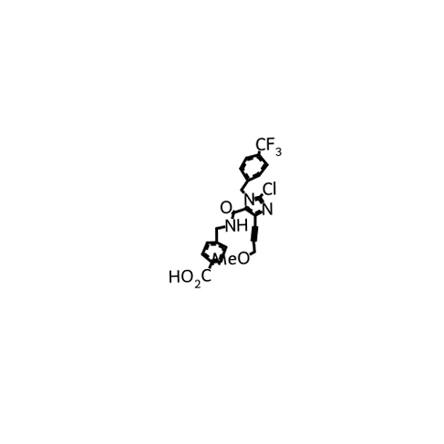 COCC#Cc1nc(Cl)n(Cc2ccc(C(F)(F)F)cc2)c1C(=O)NCc1ccc(C(=O)O)cc1